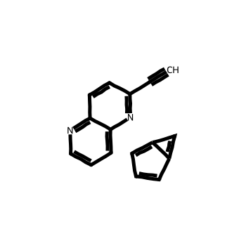 C#Cc1ccc2ncccc2n1.c1cc2cc-2c1